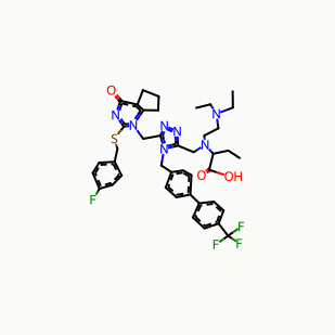 CCC(C(=O)O)N(CCN(CC)CC)Cc1nnc(Cn2c(SCc3ccc(F)cc3)nc(=O)c3c2CCC3)n1Cc1ccc(-c2ccc(C(F)(F)F)cc2)cc1